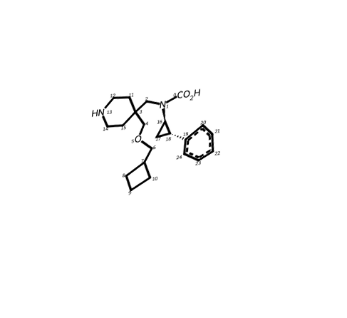 O=C(O)N(CC1(COCC2CCC2)CCNCC1)[C@@H]1C[C@H]1c1ccccc1